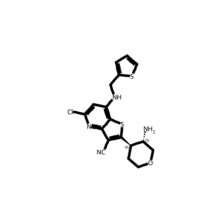 N#Cc1c([C@@H]2CCOC[C@H]2N)sc2c(NCc3cccs3)cc(Cl)nc12